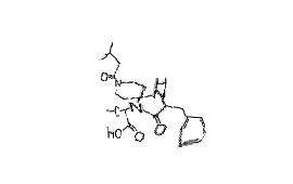 CCC(C(=O)O)N1C(=O)C(Cc2ccccc2)NC12CCN(C(=O)CC(C)C)CC2